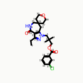 CCc1nn(CC(C)(C)COC(=O)c2cccc(Cl)c2)c2c1C(=O)NCC1(CCOCC1)C2